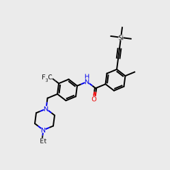 CCN1CCN(Cc2ccc(NC(=O)c3ccc(C)c(C#C[Si](C)(C)C)c3)cc2C(F)(F)F)CC1